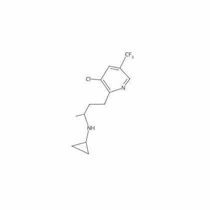 CC(CCc1ncc(C(F)(F)F)cc1Cl)NC1CC1